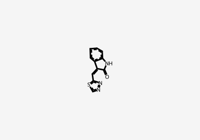 O=C1Nc2ccccc2C1=Cc1nncs1